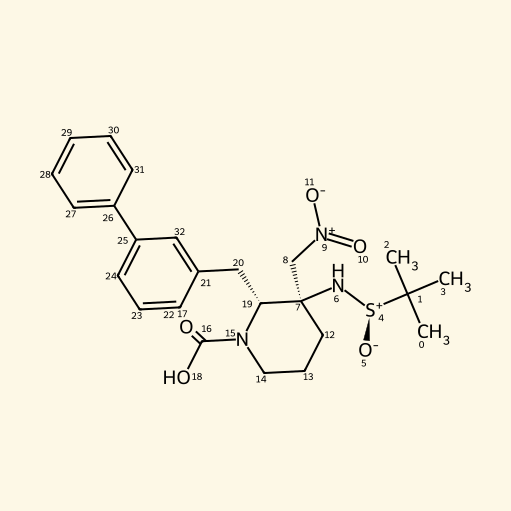 CC(C)(C)[S@@+]([O-])N[C@@]1(C[N+](=O)[O-])CCCN(C(=O)O)[C@@H]1Cc1cccc(-c2ccccc2)c1